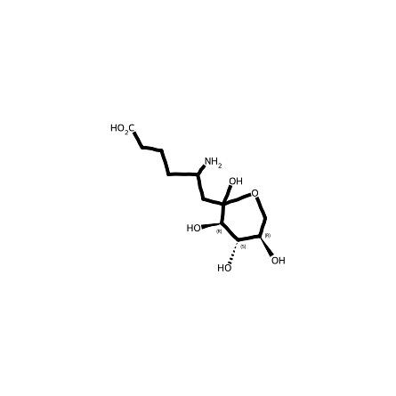 NC(CCCC(=O)O)CC1(O)OC[C@@H](O)[C@H](O)[C@H]1O